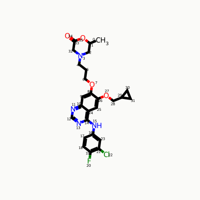 CC1CN(CCCOc2cc3ncnc(Nc4ccc(F)c(Cl)c4)c3cc2OCC2CC2)CC(=O)O1